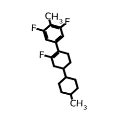 Cc1c(F)cc(C2=C(F)CC(C3CCC(C)CC3)CC2)cc1F